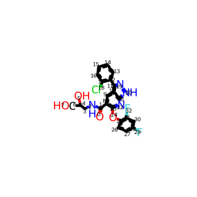 O=C(NCC(O)CO)c1cc2c(-c3ccccc3Cl)n[nH]c2nc1Oc1ccc(F)cc1F